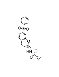 O=S(=O)(c1ccccc1)c1ccc2c(c1)O[C@@H](CNS(=O)(=O)C1CC1)CC2